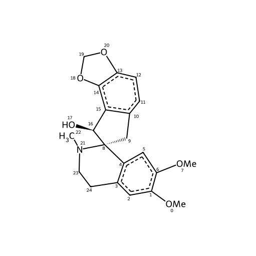 COc1cc2c(cc1OC)[C@@]1(Cc3ccc4c(c3[C@@H]1O)OCO4)N(C)CC2